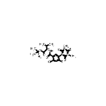 CC(C)[C@H](NC(=O)c1cc(-n2c(=O)n(C)c(=S)n(C)c2=O)c(F)cc1Cl)C(=O)OC(C)(C)C